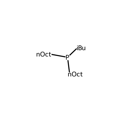 CCCCCCCCP(CCCCCCCC)C(C)CC